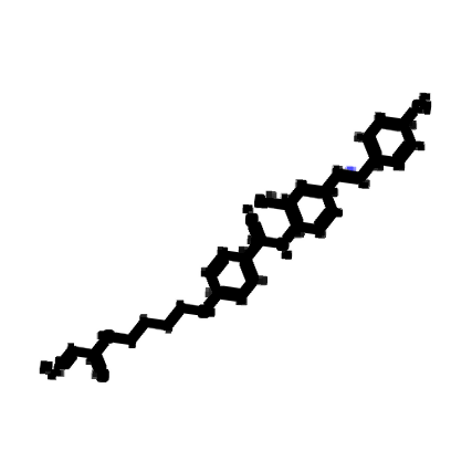 C=CC(=O)OCCCCOc1ccc(C(=O)Oc2ccc(/C=C/c3ccc(C#N)cc3)cc2Br)cc1